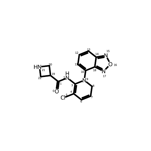 O=C(NC1=C(Cl)C=CCN1c1cccc2nonc12)C1CNC1